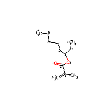 C=C(C)C(=O)OC(CC)CCCCC